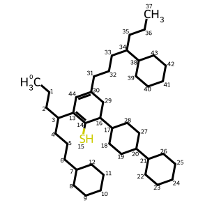 CCCC(CCCC1CCCCC1)C1=C(S)C(C2CCC(C3CCCCC3)CC2)CC(CCCC(CCC)C2CCCCC2)=C1